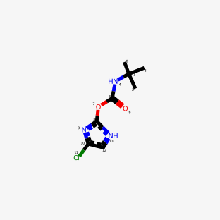 CC(C)(C)NC(=O)Oc1nc(Cl)c[nH]1